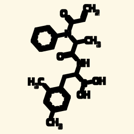 C=CC(=O)N(c1ccccc1)C(C)C(=O)NC(Cc1ccc(C)cc1C)B(O)O